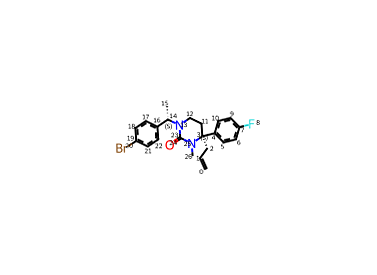 C=CC[C@@]1(c2ccc(F)cc2)CCN([C@@H](C)c2ccc(Br)cc2)C(=O)N1C